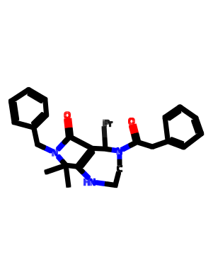 CC(C)C1C2=C(NCCN1C(=O)Cc1ccccc1)C(C)(C)N(Cc1ccccc1)C2=O